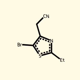 CCc1nc(CC#N)c(Br)s1